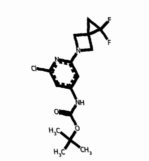 CC(C)(C)OC(=O)Nc1cc(Cl)nc(N2CC3(C2)CC3(F)F)c1